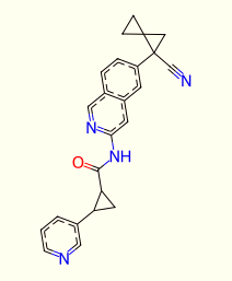 N#CC1(c2ccc3cnc(NC(=O)C4CC4c4cccnc4)cc3c2)CC12CC2